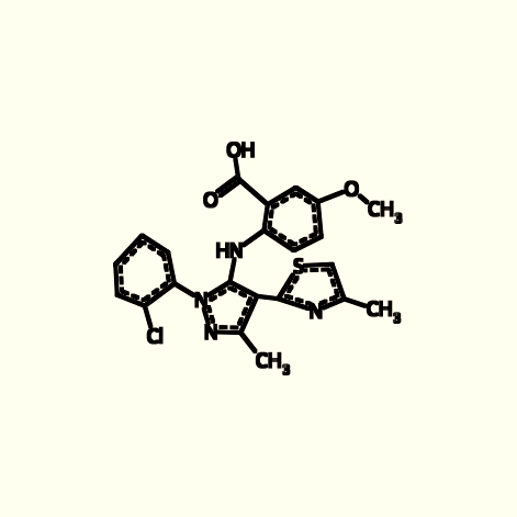 COc1ccc(Nc2c(-c3nc(C)cs3)c(C)nn2-c2ccccc2Cl)c(C(=O)O)c1